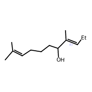 CC/C=C(\C)C(O)CCCC=C(C)C